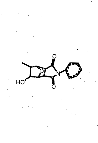 CC1C(O)C2OC1C1C(=O)N(c3ccccc3)C(=O)C21